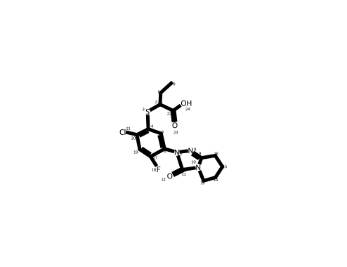 CCC(Sc1cc(-n2nc3n(c2=O)CCCC3)c(F)cc1Cl)C(=O)O